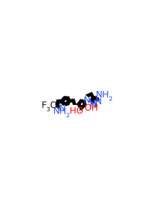 Nc1nc2cc(CC[C@H]3C[C@@H](N4CCc5c(N)ncnc54)[C@@H](O)[C@H]3O)ccc2cc1C(F)(F)F